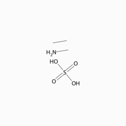 CC.CN.O=S(=O)(O)O